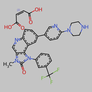 Cn1c(=O)n(-c2cccc(C(F)(F)F)c2)c2c3cc(-c4ccc(N5CCNCC5)nc4)ccc3ncc21.O=C(O)/C=C\C(=O)O